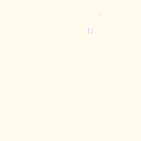 CCON1C(C)(C)CC(OCc2ccccc2)CC1(C)C